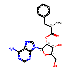 CN[C@@H](Cc1ccccc1)C(=O)O[C@@H]1[C@H](O)[C@@H](CO)O[C@H]1n1cnc2c(N)ncnc21